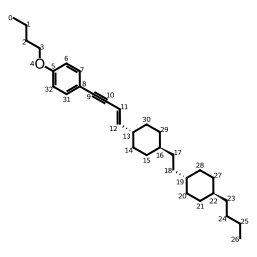 CCCCOc1ccc(C#CC=C[C@H]2CC[C@H](CC[C@H]3CC[C@H](CCCC)CC3)CC2)cc1